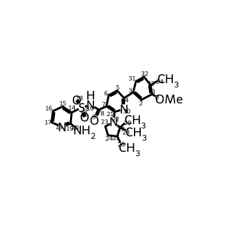 COc1cc(-c2ccc(C(=O)NS(=O)(=O)c3cccnc3N)c(N3CCC(C)C3(C)C)n2)ccc1C